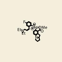 CCN(CC)C/C=C\c1cc(F)ccc1S(=O)(=O)Nc1ccc2c(c1C(=O)OC)CC1CCCN21